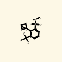 CNS(=O)(=O)c1cccc(C(F)(F)F)c1C12CC(C1)C2